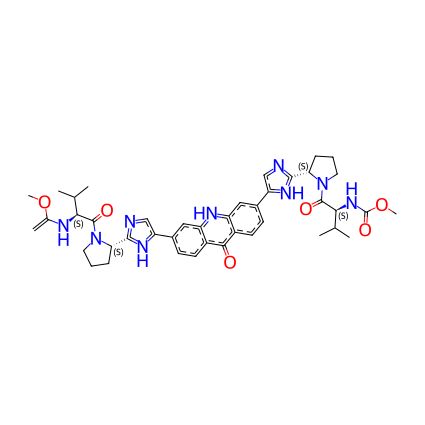 C=C(N[C@H](C(=O)N1CCC[C@H]1c1ncc(-c2ccc3c(=O)c4ccc(-c5cnc([C@@H]6CCCN6C(=O)[C@@H](NC(=O)OC)C(C)C)[nH]5)cc4[nH]c3c2)[nH]1)C(C)C)OC